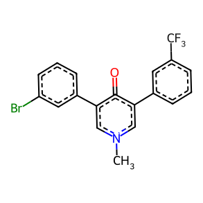 Cn1cc(-c2cccc(Br)c2)c(=O)c(-c2cccc(C(F)(F)F)c2)c1